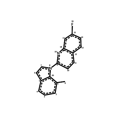 Cc1cccc2ccn(-c3ccc4ccc(F)cc4n3)c12